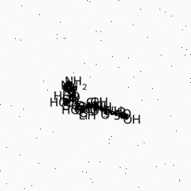 CC(C)(COP(=O)(O)OP(=O)(O)OC[C@H]1O[C@@H](n2cnc3c(N)ncnc32)[C@H](O)[C@@H]1OP(=O)(O)O)C(O)C(=O)NCCC(=O)NCCSC(=O)CC(=O)O.[LiH]